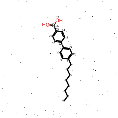 CCCCCCCCc1ccc(-c2ccc(B(O)O)cc2)cc1